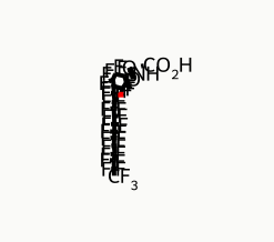 O=C(O)CNS(=O)(=O)C1(F)C(F)(F)C(F)(F)C(F)(C(F)(F)C(F)(F)C(F)(F)C(F)(F)C(F)(F)C(F)(F)C(F)(F)C(F)(F)C(F)(F)C(F)(F)C(F)(F)C(F)(F)F)C(F)(F)C1(F)F